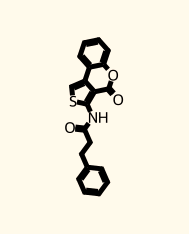 O=C(CCc1ccccc1)Nc1scc2c1c(=O)oc1ccccc12